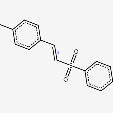 Cc1ccc(/C=C/S(=O)(=O)c2ccccc2)cc1